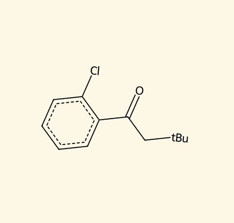 CC(C)(C)CC(=O)c1ccccc1Cl